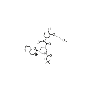 COCCCOc1cc(N(C(=O)[C@@H]2C[C@H](C(=O)N[C@H](C)c3ccccc3)CN(C(=O)OC(C)(C)C)C2)C2CC2)ccc1Cl